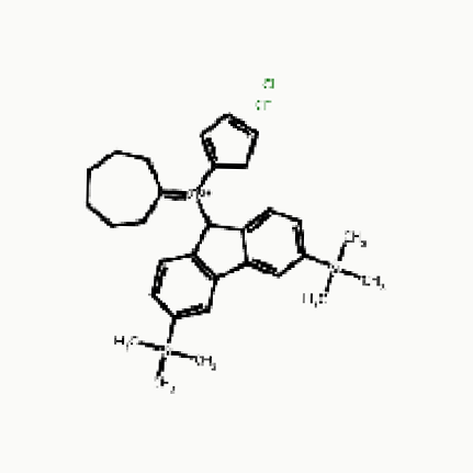 C[Si](C)(C)c1ccc2c(c1)-c1cc([Si](C)(C)C)ccc1[CH]2[Zr+2]([C]1=CC=CC1)=[C]1CCCCCC1.[Cl-].[Cl-]